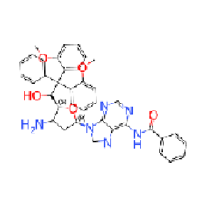 COc1ccccc1C(c1ccccc1)(c1ccccc1OC)C(O)[C@H]1O[C@@H](n2cnc3c(NC(=O)c4ccccc4)ncnc32)CC1N